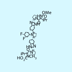 COC(=O)N[C@H](C(=O)N1CCC[C@H]1c1nc2ccc([C@H]3CC[C@H](c4ccc5[nH]c([C@@H]6CCCN6C(=O)[C@H](C(C)C)N(C)C(=O)O)nc5c4)N3c3ccc(F)c(F)c3)cc2[nH]1)C(C)C